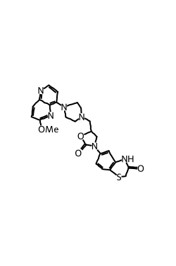 COc1ccc2nccc(N3CCN(CC4CN(c5ccc6c(c5)NC(=O)CS6)C(=O)O4)CC3)c2n1